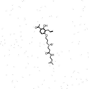 C=CCc1c(OCCC[S+]([O-])CCC(=O)NCCN(C)C)ccc(C(C)=O)c1O